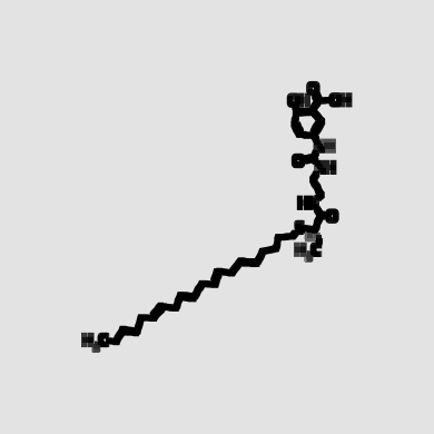 CCC=CCC=CCC=CCC=CCC=CCCCCS[C@@H](CC)C(=O)NCCNC(=O)Nc1ccc(O)c(C(=O)O)c1